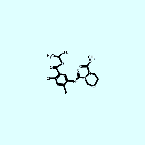 COC(=O)N1CCOCN1C(=S)Nc1cc(C(=O)OC(C)C)c(Cl)cc1F